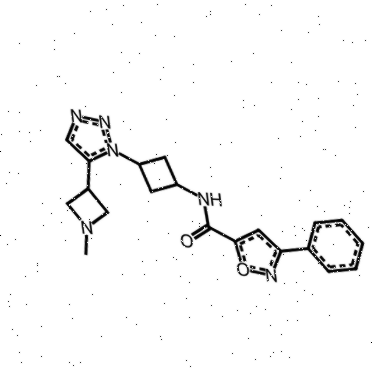 CN1CC(c2cnnn2C2CC(NC(=O)c3cc(-c4ccccc4)no3)C2)C1